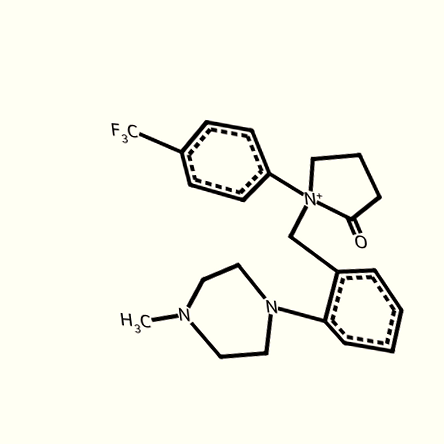 CN1CCN(c2ccccc2C[N+]2(c3ccc(C(F)(F)F)cc3)CCCC2=O)CC1